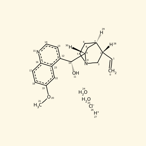 C=C[C@@H]1CN2CC[C@@H]1C[C@H]2[C@H](O)c1ccnc2ccc(OC)cc12.O.O.[Cl-].[H+]